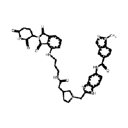 Cn1ncc2cc(C(=O)Nc3ccc4[nH]c(CN5CCC(CC(=O)NCCCNc6cccc7c6C(=O)N(C6CCC(=O)NC6=O)C7=O)C5)nc4c3)ccc21